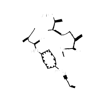 C=C(C)C(=O)Nc1ccc(O)cc1.C=C(CC=C(C)C(=O)O)C(=O)OC.C=CC#N